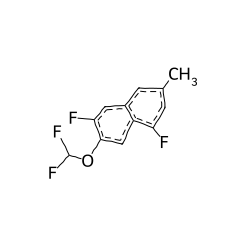 Cc1cc(F)c2cc(OC(F)F)c(F)cc2c1